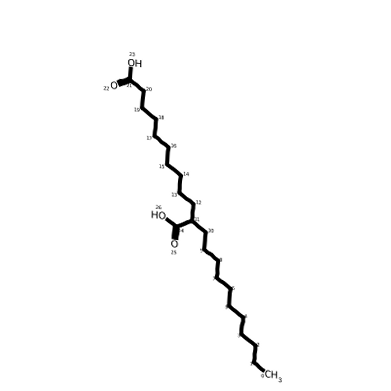 CCCCCCCCCCCC(CCCCCCCCCC(=O)O)C(=O)O